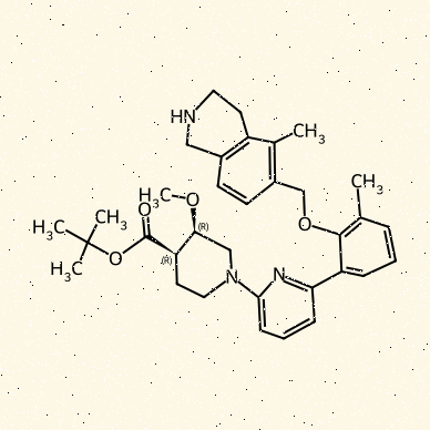 CO[C@H]1CN(c2cccc(-c3cccc(C)c3OCc3ccc4c(c3C)CCNC4)n2)CC[C@H]1C(=O)OC(C)(C)C